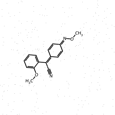 CON=C1C=CC(=C(C#N)c2ccccc2OC)C=C1